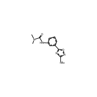 CCCCc1noc(-c2cccc(NC(=O)N(C)C)c2)n1